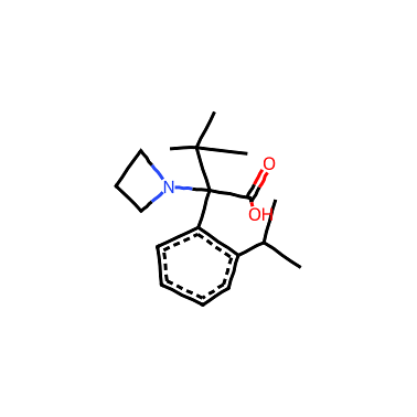 CC(C)c1ccccc1C(C(=O)O)(N1CCC1)C(C)(C)C